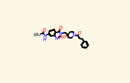 CC(C)(C)C(=O)Nc1ccc2c(=O)n(CC3(O)CCN(C(=O)CCc4ccccc4)CC3)cnc2c1